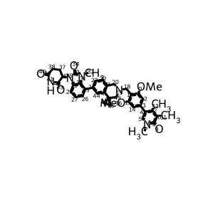 COc1cc(-c2cn(C)c(=O)c(C)c2C)cc(OC)c1CN1Cc2ccc(-c3cccc4c3n(C)c(=O)n4C3CCC(=O)NC3=O)cc2C2(CC2)C1